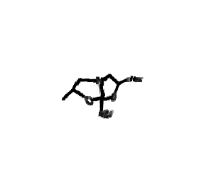 CCCCCCC1CN2CC(C)OC2(CCCC)O1